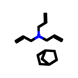 C1CC2CCC1C2.C=CCN(CC=C)CC=C